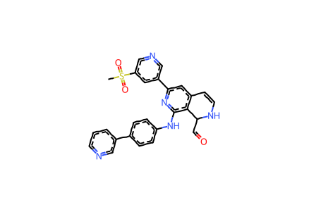 CS(=O)(=O)c1cncc(-c2cc3c(c(Nc4ccc(-c5cccnc5)cc4)n2)C(C=O)NC=C3)c1